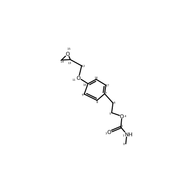 CNC(=O)OCCc1ccc(OCC2CO2)cc1